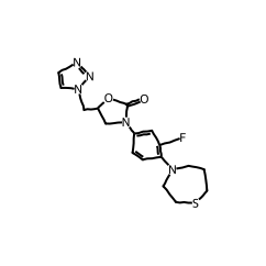 O=C1OC(Cn2ccnn2)CN1c1ccc(N2CCCSCC2)c(F)c1